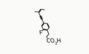 C/C=C(/C)C#Cc1ccc(CCC(=O)O)c(F)c1